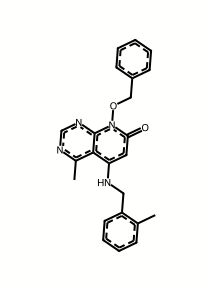 Cc1ccccc1CNc1cc(=O)n(OCc2ccccc2)c2ncnc(C)c12